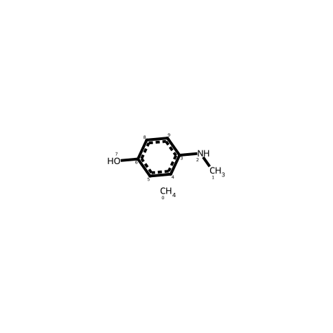 C.CNc1ccc(O)cc1